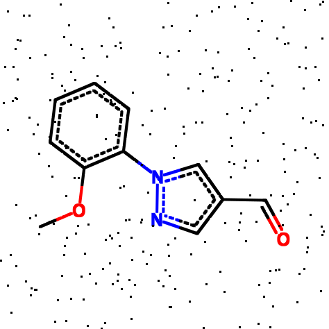 COc1ccccc1-n1cc(C=O)cn1